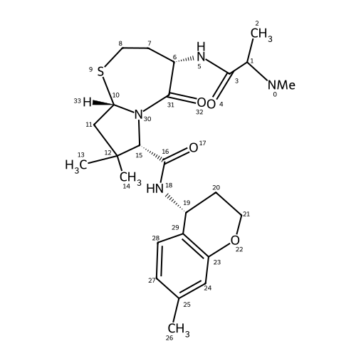 CNC(C)C(=O)N[C@H]1CCS[C@H]2CC(C)(C)[C@@H](C(=O)N[C@@H]3CCOc4cc(C)ccc43)N2C1=O